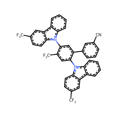 N#Cc1cccc(-c2cc(-n3c4ccccc4c4cc(C(F)(F)F)ccc43)c(C(F)(F)F)cc2-n2c3ccccc3c3cc(C(F)(F)F)ccc32)c1